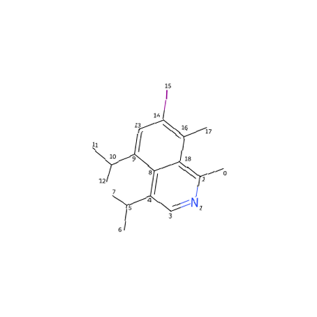 Cc1ncc(C(C)C)c2c(C(C)C)cc(I)c(C)c12